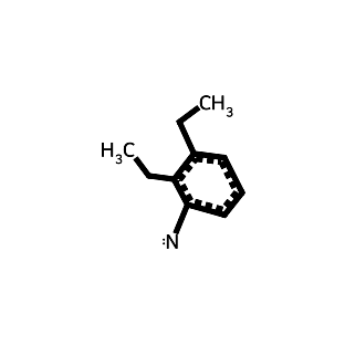 CCc1cccc([N])c1CC